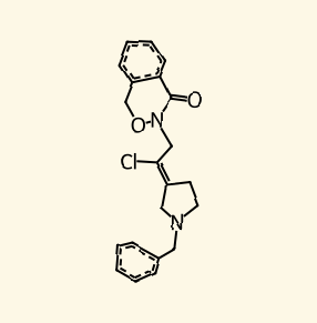 O=C1c2ccccc2CON1C/C(Cl)=C1\CCN(Cc2ccccc2)C1